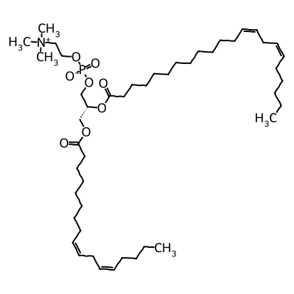 CCCC/C=C\C/C=C\CCCCCCCC(=O)OC[C@H](COP(=O)([O-])OCC[N+](C)(C)C)OC(=O)CCCCCCCCCCC/C=C\C/C=C\CCCCC